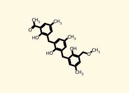 COCc1cc(C)cc(Cc2cc(C)cc(Cc3cc(C)cc(C(C)=O)c3O)c2O)c1O